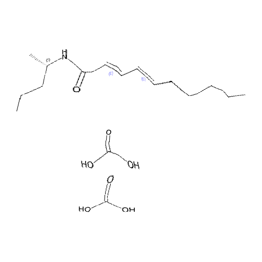 CCCCC/C=C/C=C/C(=O)N[C@@H](C)CCC.O=C(O)O.O=C(O)O